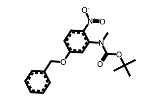 CN(C(=O)OC(C)(C)C)c1cc(OCc2ccccc2)ccc1[N+](=O)[O-]